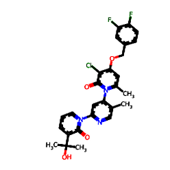 Cc1cnc(-n2cccc(C(C)(C)O)c2=O)cc1-n1c(C)cc(OCc2ccc(F)c(F)c2)c(Cl)c1=O